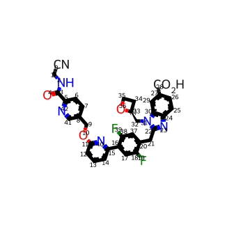 N#CCNC(=O)c1ccc(COc2cccc(-c3cc(F)c(Cc4nc5ccc(C(=O)O)cc5n4C[C@@H]4CCO4)cc3F)n2)cn1